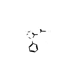 CC(=O)Sc1nnnn1-c1ccccc1.[Ag]